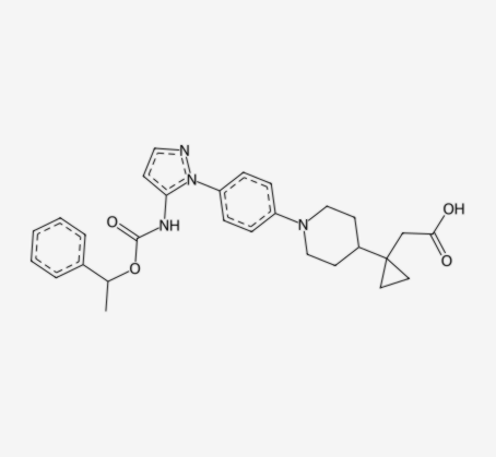 CC(OC(=O)Nc1ccnn1-c1ccc(N2CCC(C3(CC(=O)O)CC3)CC2)cc1)c1ccccc1